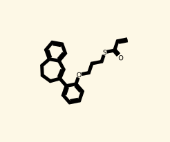 C=CC(=O)SCCCOc1ccccc1C1=Cc2ccccc2CCC1